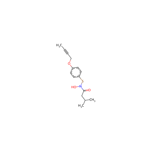 CC#CCOc1ccc(SN(O)C(=O)CC(C)C)cc1